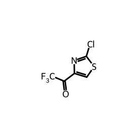 O=C(c1csc(Cl)n1)C(F)(F)F